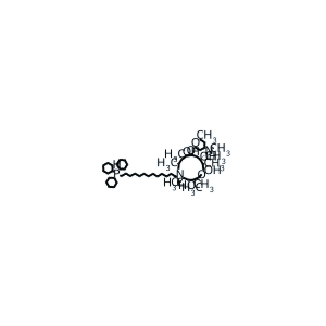 CC[C@H]1OC(O)[C@H](C)[C@@H](O)C[C@@H](O[C@H]2C[C@@H](N(C)C)C[C@@H](C)O2)[C@](C)(O)C[C@@H](C)CN(C(=O)CCCCCCCCCCCC[PH](C2CCCCC2)(C2CCCCC2)C2CCCCC2)[C@H](C)C[C@]1(C)O